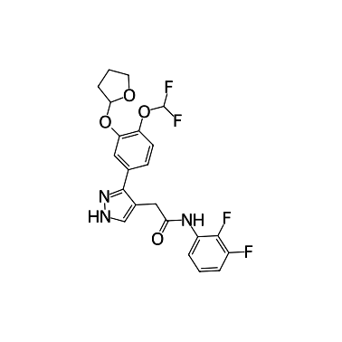 O=C(Cc1c[nH]nc1-c1ccc(OC(F)F)c(OC2CCCO2)c1)Nc1cccc(F)c1F